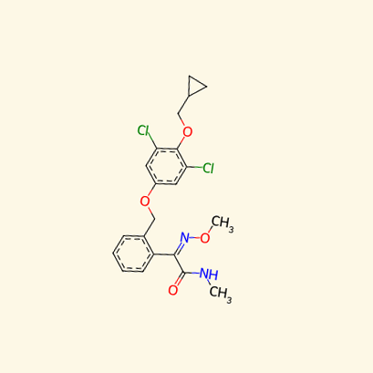 CNC(=O)C(=NOC)c1ccccc1COc1cc(Cl)c(OCC2CC2)c(Cl)c1